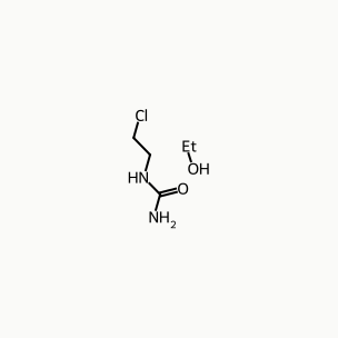 CCO.NC(=O)NCCCl